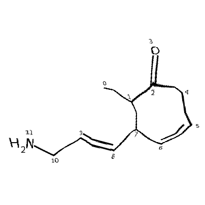 CC1C(=O)CC=CC1C=CCN